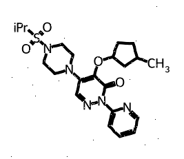 CC1CCC(Oc2c(N3CCN(S(=O)(=O)C(C)C)CC3)cnn(-c3ccccn3)c2=O)C1